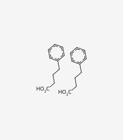 O=C(O)CCCc1ccccc1.O=C(O)CCCc1ccccc1